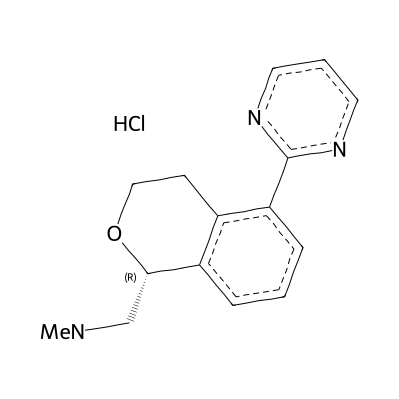 CNC[C@@H]1OCCc2c(-c3ncccn3)cccc21.Cl